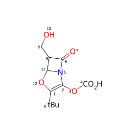 CC(C)(C)C1=C(OC(=O)O)N2C(=O)C(CO)C2O1